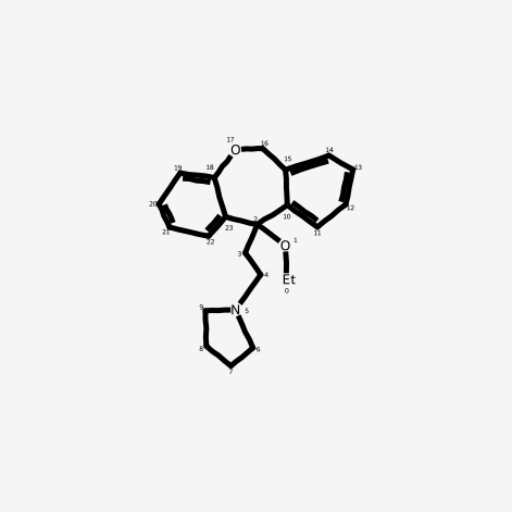 CCOC1(CCN2CCCC2)c2ccccc2COc2ccccc21